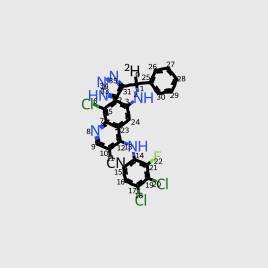 [2H]C(Nc1cc(Cl)c2ncc(C#N)c(Nc3ccc(Cl)c(Cl)c3F)c2c1)(c1ccccc1)c1c[nH]nn1